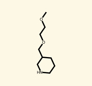 COCCOCC1CCCNC1